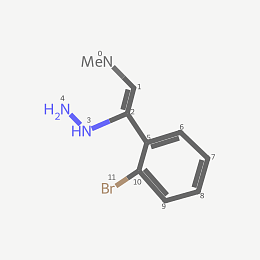 CN/C=C(\NN)c1ccccc1Br